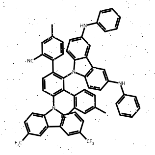 Cc1ccc(-c2ccc(-n3c4ccc(C(F)(F)F)cc4c4cc(C(F)(F)F)ccc43)c(-c3ccc(C)cc3C#N)c2-n2c3ccc(Nc4ccccc4)cc3c3cc(Nc4ccccc4)ccc32)c(C#N)c1